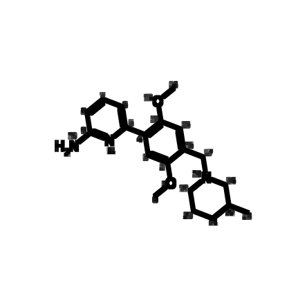 COc1cc(-c2cccc(N)n2)c(OC)cc1CN1CCCC(C)C1